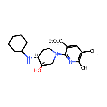 CCOC(=O)c1cc(C)c(C)nc1N1CC[C@@H](NC2CCCCC2)[C@H](O)C1